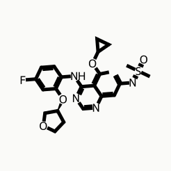 C=C(/C=c1/ncnc(Nc2ccc(F)cc2O[C@H]2CCOC2)/c1=C(/C)OC1CC1)N=S(C)(C)=O